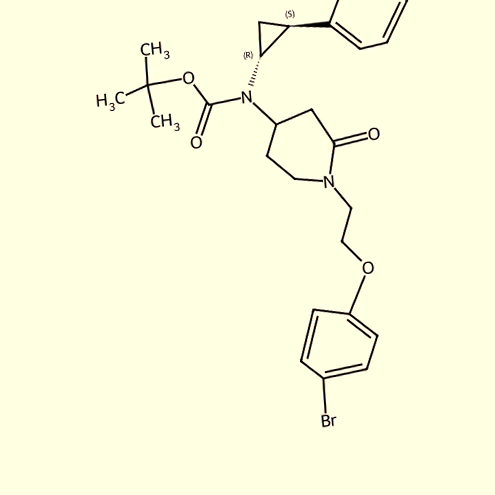 CC(C)(C)OC(=O)N(C1CCN(CCOc2ccc(Br)cc2)C(=O)C1)[C@@H]1C[C@H]1c1ccccc1